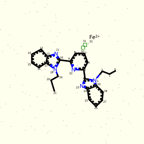 CCCn1c(-c2cccc(-c3nc4ccccc4n3CCC)n2)nc2ccccc21.[Cl-].[Cl-].[Fe+2]